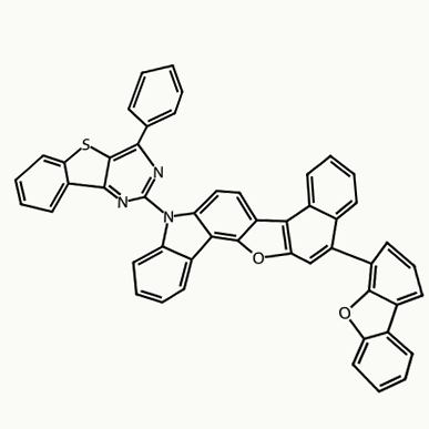 c1ccc(-c2nc(-n3c4ccccc4c4c5oc6cc(-c7cccc8c7oc7ccccc78)c7ccccc7c6c5ccc43)nc3c2sc2ccccc23)cc1